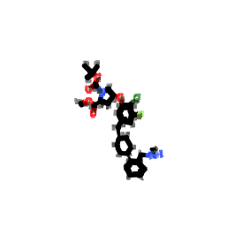 CNCc1ccccc1[C@H]1CC[C@H](Cc2cc(F)c(Cl)c(O[C@H]3C[C@@H](C(=O)OC)N(C(=O)OC(C)(C)C)C3)c2)CC1